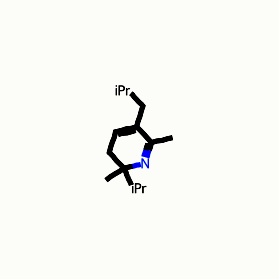 CC1=NC(C)(C(C)C)CC=C1CC(C)C